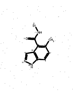 CCNC(=O)c1c(C)ccc2[nH]ncc12